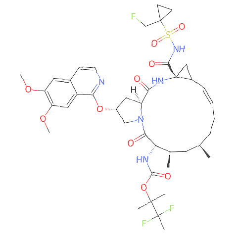 COc1cc2ccnc(O[C@@H]3C[C@H]4C(=O)N[C@]5(C(=O)NS(=O)(=O)C6(CF)CC6)CC5/C=C\CC[C@@H](C)C[C@@H](C)[C@H](NC(=O)OC(C)(C)C(C)(F)F)C(=O)N4C3)c2cc1OC